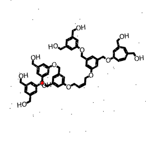 OCC1=CC(CO)=CC(OCc2cc(COc3cc(CO)cc(CO)c3)cc(OC/C=C\COc3cc(COc4cc(CO)cc(CO)c4)cc(COc4cc(CO)cc(CO)c4)c3)c2)C=C1